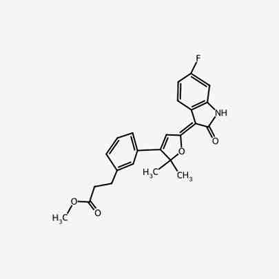 COC(=O)CCc1cccc(C2=CC(=C3C(=O)Nc4cc(F)ccc43)OC2(C)C)c1